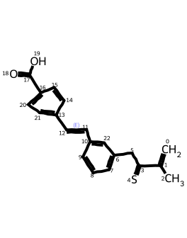 C=C(C)C(=S)Cc1cccc(/C=C/c2ccc(C(=O)O)cc2)c1